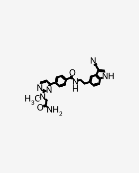 CN(CC(N)=O)c1nccc(-c2ccc(C(=O)NCCc3ccc4[nH]cc(C#N)c4c3)cc2)n1